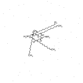 CCCCCCCCCCCCN(C=O)CC(=O)N(CCN)CC(=O)N(CCCCCCCCCCCC)CC(=O)N(CCCCCCCCCCCC)CC(=O)N(CCN)CC(=O)N(CCCCCCCCCCCC)CC(N)=O